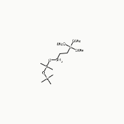 CO[Si](CC[SiH2]O[Si](C)(C)O[Si](C)(C)C)(OC)OC